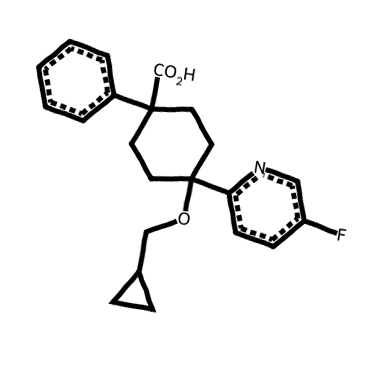 O=C(O)C1(c2ccccc2)CCC(OCC2CC2)(c2ccc(F)cn2)CC1